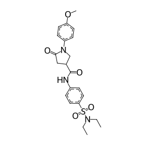 CCN(CC)S(=O)(=O)c1ccc(NC(=O)C2CC(=O)N(c3ccc(OC)cc3)C2)cc1